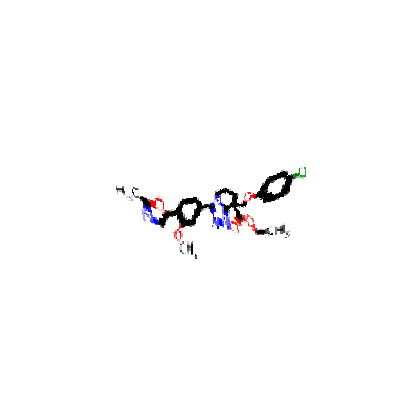 CCOC(=O)C1(COc2ccc(Cl)cc2)CCCn2c(-c3ccc(-c4cnc(C)o4)c(OC)c3)nnc21